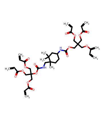 C=CC(=C)OCC(COC(=O)C=C)(COC(=O)C=C)COC(=O)NC1CCC(C)(CNC(=O)OC(COC(=O)C=C)(COC(=O)C=C)COC(=O)C=C)C(C)(C)C1